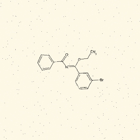 CCO/C(=N\C(=O)c1ccccc1)c1cccc(Br)c1